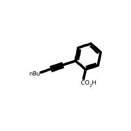 CCCCC#Cc1ccccc1C(=O)O